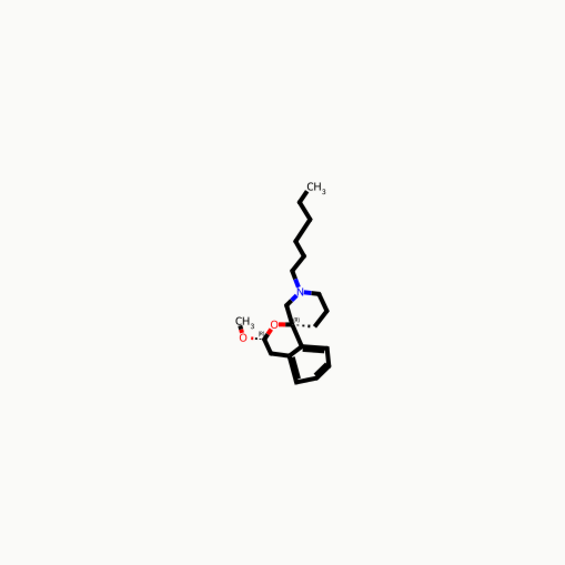 CCCCCCN1CCC[C@@]2(C1)O[C@@H](OC)Cc1ccccc12